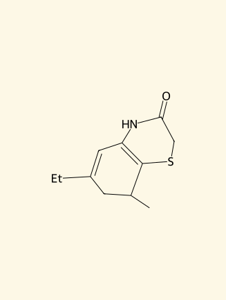 CCC1=CC2=C(SCC(=O)N2)C(C)C1